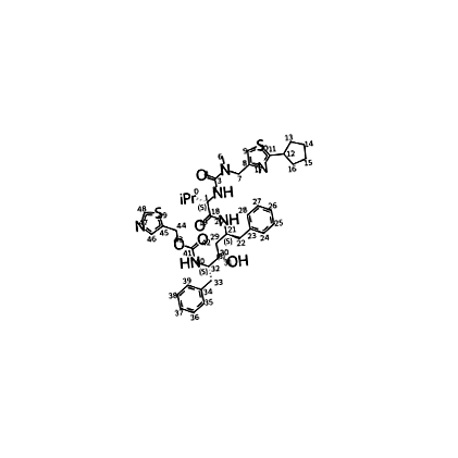 CC(C)[C@H](NC(=O)N(C)Cc1csc(C2CCCC2)n1)C(=O)N[C@@H](Cc1ccccc1)C[C@H](O)[C@H](Cc1ccccc1)NC(=O)OCc1cncs1